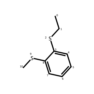 CCSc1ccccc1SC